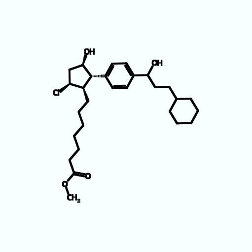 COC(=O)CCCCCC[C@@H]1[C@@H](c2ccc(C(O)CCC3CCCCC3)cc2)[C@H](O)C[C@@H]1Cl